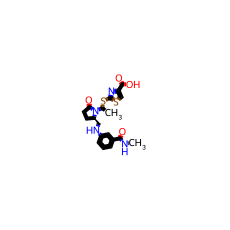 CNC(=O)c1cccc(NC[C@H]2CCC(=O)N2C(C)Sc2nc(C(=O)O)cs2)c1